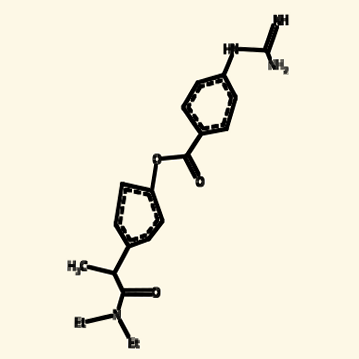 CCN(CC)C(=O)C(C)c1ccc(OC(=O)c2ccc(NC(=N)N)cc2)cc1